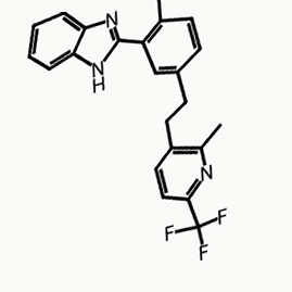 Cc1nc(C(F)(F)F)ccc1CCc1ccc(Cl)c(-c2nc3ccccc3[nH]2)c1